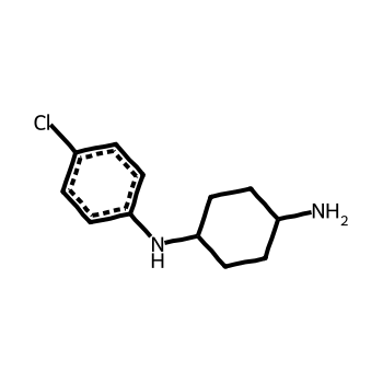 NC1CCC(Nc2ccc(Cl)cc2)CC1